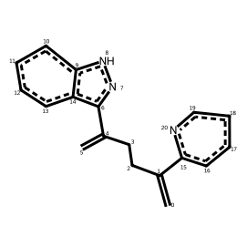 C=C(CCC(=C)c1n[nH]c2ccccc12)c1ccccn1